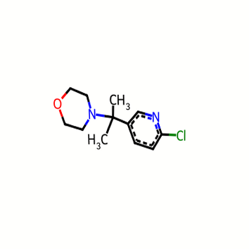 CC(C)(c1ccc(Cl)nc1)N1CCOCC1